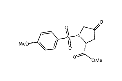 COC(=O)[C@H]1CC(=O)CN1S(=O)(=O)c1ccc(OC)cc1